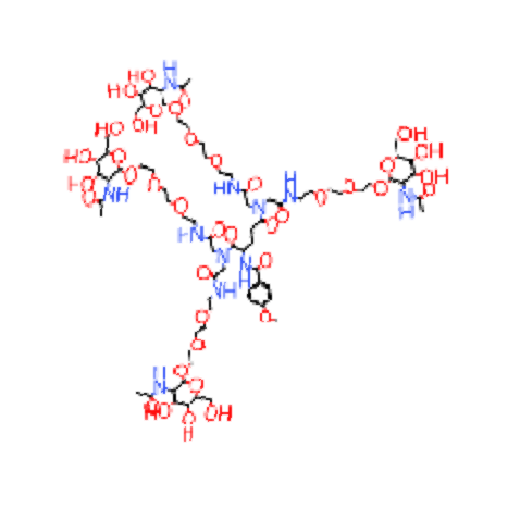 COc1ccc(C(=O)NC(CCC(=O)N(CC(=O)NCCOCCOCCOC2OC(CO)C(O)C(O)C2NC(C)=O)CC(=O)NCCOCCOCCOC2OC(CO)C(O)C(O)C2NC(C)=O)C(=O)N(CC(=O)NCCOCCOCCOC2OC(CO)C(O)C(O)C2NC(C)=O)CC(=O)NCCOCCOCCOC2OC(CO)C(O)C(O)C2NC(C)=O)cc1